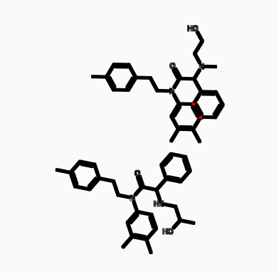 Cc1ccc(CCN(C(=O)C(NCC(C)O)c2ccccc2)c2ccc(C)c(C)c2)cc1.Cc1ccc(CCN(C(=O)C(c2ccccc2)N(C)CCO)c2ccc(C)c(C)c2)cc1